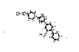 Cc1cc(-c2nc(-c3ccc(C=O)cc3)no2)ccc1-c1ccccc1